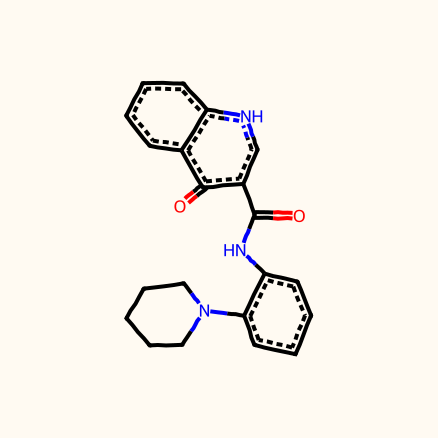 O=C(Nc1ccccc1N1CCCCC1)c1c[nH]c2ccccc2c1=O